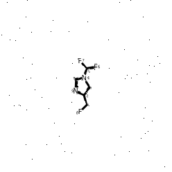 FCC1[CH]N(C(F)F)[C]=N1